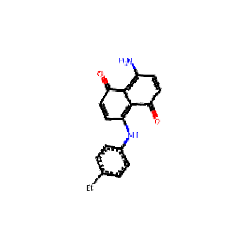 CCc1ccc(NC2=C3C(=O)C=CC(N)=C3C(=O)C=C2)cc1